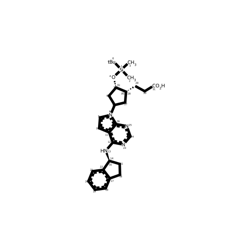 CC(C)(C)[Si](C)(C)O[C@H]1CC(n2ccc3c(N[C@H]4CCc5ccccc54)ncnc32)C[C@H]1CCC(=O)O